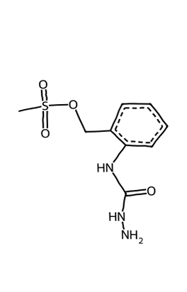 CS(=O)(=O)OCc1ccccc1NC(=O)NN